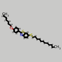 CCCCCCCCCCCCSc1ccc2nc(-c3ccc(OCCCCCCC)cc3)sc2c1